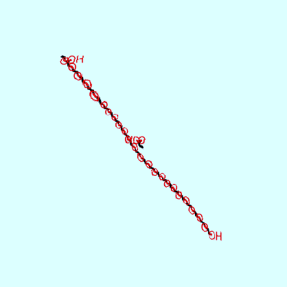 C=CC(=O)O.CCOC(O)COCCOCCOCCOCCOCCOCCOCCOCCOCCOCCOCCOCCOCCOCCOCCOCCOCCOCCOCCOCCOCCOCCO